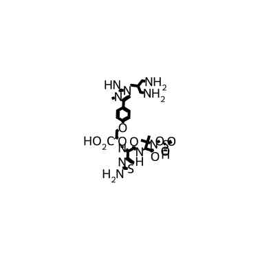 Cn1c(-c2ccc(OC[C@H](O/N=C(\C(=O)N[C@@H]3C(=O)N(O[SH](=O)=O)C3(C)C)c3csc(N)n3)C(=O)O)cc2)cn(CC(CN)CN)c1=N